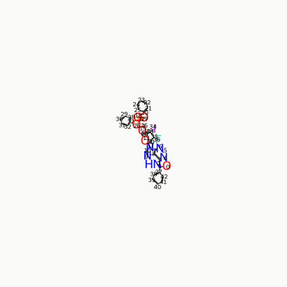 O=C(Nc1ncnc2c1ncn2[C@@H]1O[C@H](OCP(=O)(Oc2ccccc2)Oc2ccccc2)[C@@H](I)C1F)c1ccccc1